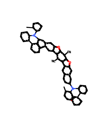 Cc1ccccc1N(c1ccc2cc3c(cc2c1)oc1c(C#N)c2oc4cc5cc(N(c6ccccc6C)c6ccccc6-c6ccccc6)ccc5cc4c2c(C#N)c13)c1ccccc1-c1ccccc1